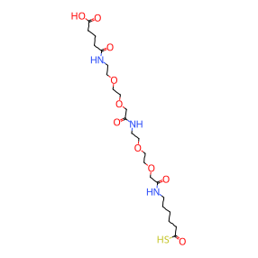 O=C(O)CCCC(=O)NCCOCCOCC(=O)NCCOCCOCC(=O)NCCCCCC(=O)S